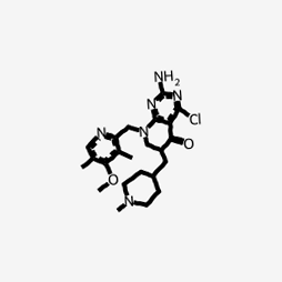 COc1c(C)cnc(CN2CC(CC3CCN(C)CC3)C(=O)c3c(Cl)nc(N)nc32)c1C